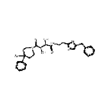 CC(=O)C1(c2ccccc2)CCN(C(=O)[C@H](O)[C@@H](O)C(=O)NCCc2nc(Cc3ccccc3)co2)CC1